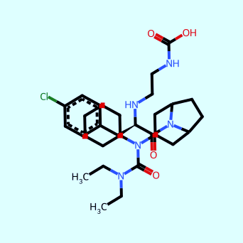 CCN(CC)C(=O)N(C1CCCCC1)C1CC2CCC(C1)N2C(=O)[C@@H](Cc1ccc(Cl)cc1)NCCNC(=O)O